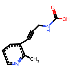 Cc1ncccc1C#CCNC(=O)O